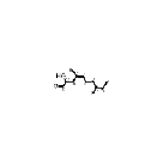 CCC(C)CCC=C(C)CC(O)C=O